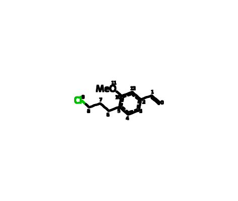 C=Cc1ccc(CCCCl)c(OC)c1